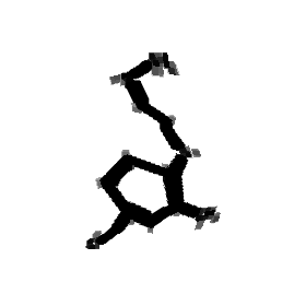 Cc1cc(Cl)ccc1/N=C\C=N/N